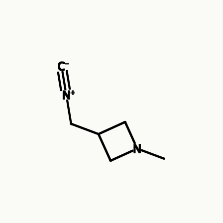 [C-]#[N+]CC1CN(C)C1